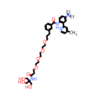 CCN(CC)c1ccc(NC(=O)c2cccc(CCCOCCOCCOCCOCCC(=O)NC(CO)(CO)CO)c2)c(-c2cc(C)ccn2)c1